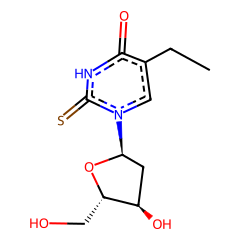 CCc1cn([C@H]2C[C@@H](O)[C@H](CO)O2)c(=S)[nH]c1=O